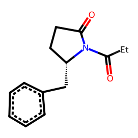 CCC(=O)N1C(=O)CC[C@H]1Cc1ccccc1